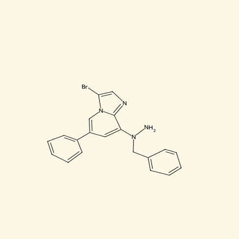 NN(Cc1ccccc1)c1cc(-c2ccccc2)cn2c(Br)cnc12